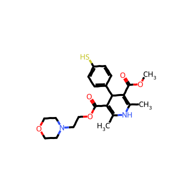 COC(=O)C1=C(C)NC(C)=C(C(=O)OCCN2CCOCC2)C1c1ccc(S)cc1